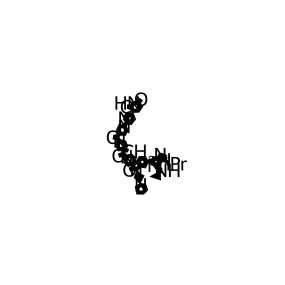 CC(C)n1cnc2cc(-c3ccc4c(c3)N([C@H]3C[C@@H](N5CCCCC5)C3)C(=O)C43CCN(C(=O)C4(C)CCN(C(=O)C5CCN(c6ccc([C@@H]7CCC(=O)NC7=O)cn6)CC5)CC4)CC3)nc(NC3CC3)c21